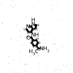 CC(N)c1ccc(C(=O)Nc2ccnc3[nH]ccc23)cc1